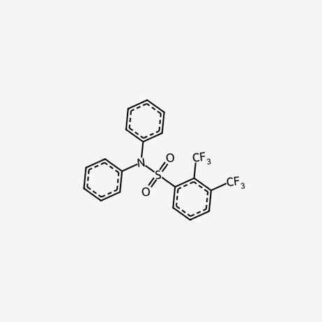 O=S(=O)(c1cccc(C(F)(F)F)c1C(F)(F)F)N(c1ccccc1)c1ccccc1